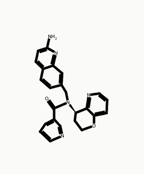 Nc1ccc2ccc(CN(C(=O)c3cccnc3)[C@@H]3CCOc4cccnc43)cc2n1